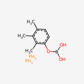 Cc1ccc(OB(O)O)c(C)c1C.P.P